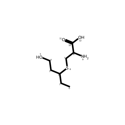 CCC(CCO)SCC(N)C(=O)O